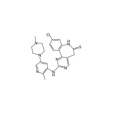 Cc1ncc(N2CCN(C)CC2)cc1Nc1ncc2c(n1)-c1ccc(Cl)cc1NC(=S)C2